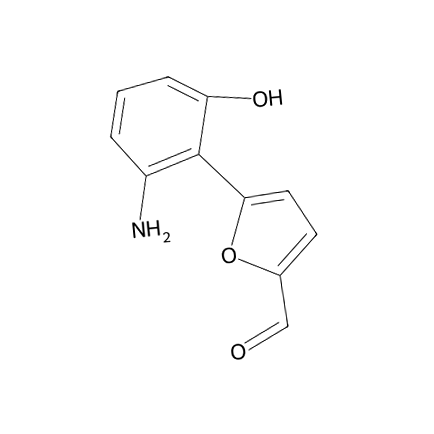 Nc1cccc(O)c1-c1ccc(C=O)o1